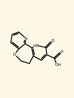 O=C(O)c1cc2c([nH]c1=O)-c1ncccc1OCC2